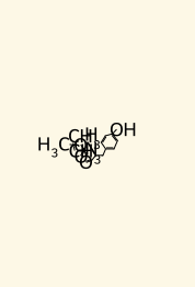 CC(C)(C)OC(=O)N[C@H](C=O)Cc1ccc(O)cc1